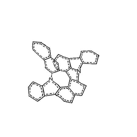 c1ccc2cc(-n3c4ccccc4c4ccc5ccc6c(c7cccc8c9ccccc9n6c87)c5c43)ccc2c1